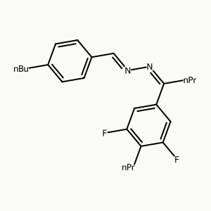 CCCCc1ccc(C=NN=C(CCC)c2cc(F)c(CCC)c(F)c2)cc1